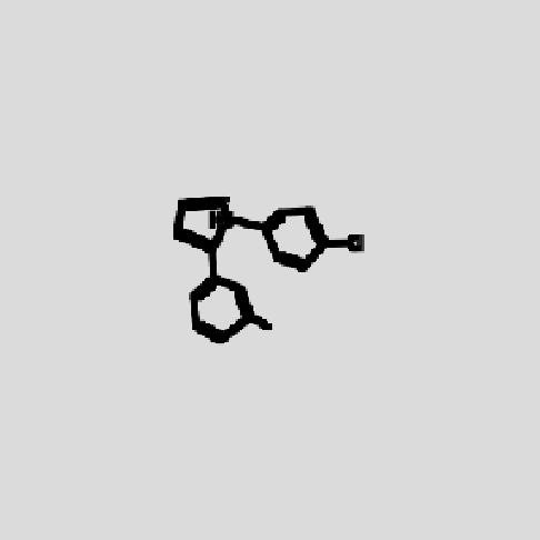 Cc1cccc(C2=CC=[C][SH]2c2ccc(Cl)cc2)c1